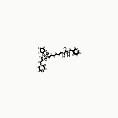 O=C(NCCCCCCS(=O)(=O)N(CCCN1CCOCC1)C1CCCC1)NCc1cccnc1